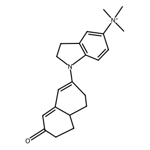 C[N+](C)(C)c1ccc2c(c1)CCN2C1=CC2=CC(=O)CCC2CC1